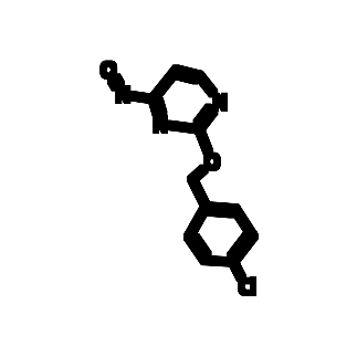 O=Nc1ccnc(OCc2ccc(Cl)cc2)n1